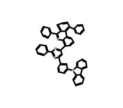 c1ccc(-c2nc(-c3cccc(-n4c5ccccc5c5ccccc54)c3)cc(-c3cccc4c3nc(-c3ccccc3)c3cccc(-c5ccccc5)c34)n2)cc1